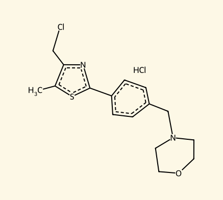 Cc1sc(-c2ccc(CN3CCOCC3)cc2)nc1CCl.Cl